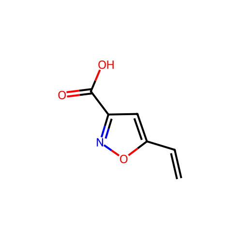 C=Cc1cc(C(=O)O)no1